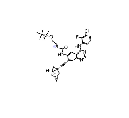 CN1C[C@H]2C[C@@]2(C#Cc2cc3ncnc(Nc4cccc(Cl)c4F)c3cc2NC(=O)/C=C/CO[Si](C)(C)C(C)(C)C)C1